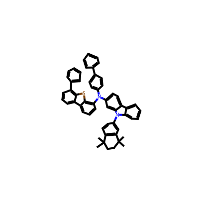 CC1(C)CCC(C)(C)c2cc(-n3c4ccccc4c4ccc(N(c5ccc(-c6ccccc6)cc5)c5cccc6c5sc5c(-c7ccccc7)cccc56)cc43)ccc21